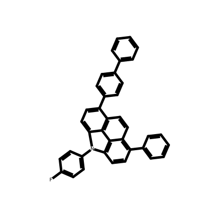 Fc1ccc(-n2c3ccc(-c4ccccc4)c4ccc5c(-c6ccc(-c7ccccc7)cc6)ccc2c5c43)cc1